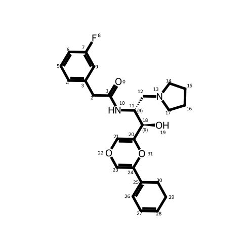 O=C(Cc1cccc(F)c1)N[C@H](CN1CCCC1)[C@@H](O)C1=COC=C(C2=CC=CCC2)O1